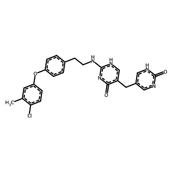 Cc1cc(Oc2ccc(CCNc3nc(=O)c(Cc4cnc(=O)[nH]c4)c[nH]3)cc2)ccc1Cl